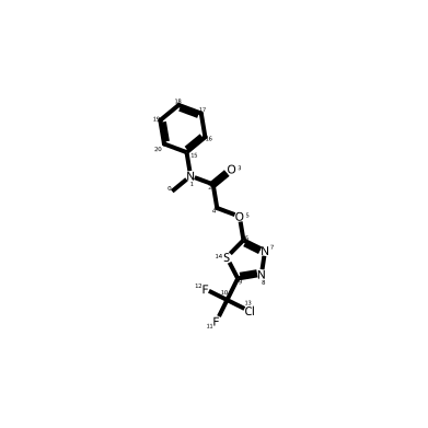 CN(C(=O)COc1nnc(C(F)(F)Cl)s1)c1ccccc1